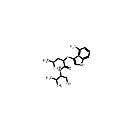 Cc1cccc2[nH]cc(SC(CC(C)C)C(=O)NC(CO)C(C)C)c12